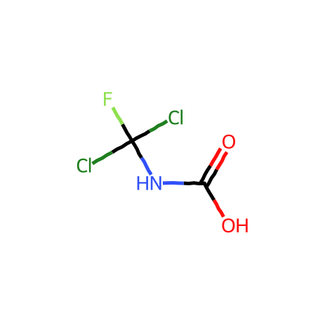 O=C(O)NC(F)(Cl)Cl